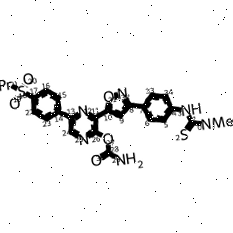 CNC(=S)Nc1ccc(-c2cc(-c3nc(-c4ccc(S(=O)(=O)C(C)C)cc4)cnc3OC(N)=O)on2)cc1